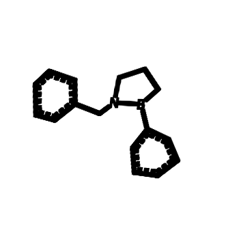 c1ccc(CN2CCCB2c2ccccc2)cc1